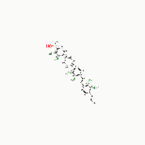 CCCc1ccc(/C=C/c2ccc(C3CCC(c4ccc(C(C)O)c(F)c4F)CC3)c(F)c2F)c(F)c1F